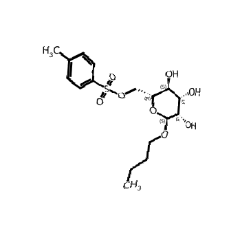 CCCCO[C@H]1O[C@H](COS(=O)(=O)c2ccc(C)cc2)[C@@H](O)[C@H](O)[C@@H]1O